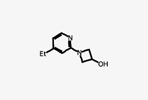 CCc1ccnc(N2CC(O)C2)c1